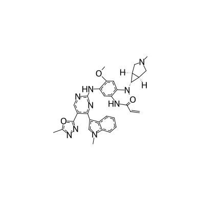 C=CC(=O)Nc1cc(Nc2ncc(-c3nnc(C)o3)c(-c3cn(C)c4ccccc34)n2)c(OC)cc1N(C)[C@H]1[C@@H]2CN(C)C[C@@H]21